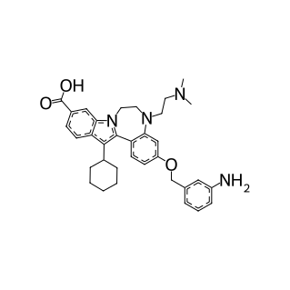 CN(C)CCN1CCn2c(c(C3CCCCC3)c3ccc(C(=O)O)cc32)-c2ccc(OCc3cccc(N)c3)cc21